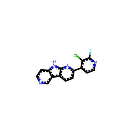 Fc1nccc(-c2ccc3c(n2)[nH]c2ccncc23)c1Cl